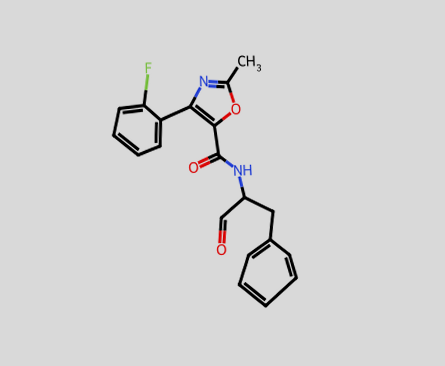 Cc1nc(-c2ccccc2F)c(C(=O)NC(C=O)Cc2ccccc2)o1